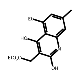 CCOC(=O)Cc1c(O)nc2cc(C)cc(CC)c2c1O